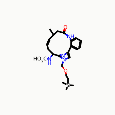 CC1C=CCC(NC(=O)O)c2nc(cn2COCC[Si](C)(C)C)-c2ccccc2NC(=O)C1